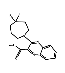 COC(=O)c1nc2ccccc2nc1N1CCCC(F)(F)CC1